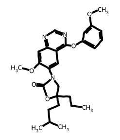 CCCC1(CCC(C)C)CN(c2cc3c(Oc4cccc(OC)c4)ncnc3cc2OC)C(=O)O1